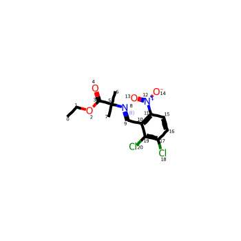 CCOC(=O)C(C)(C)/N=C/c1c([N+](=O)[O-])ccc(Cl)c1Cl